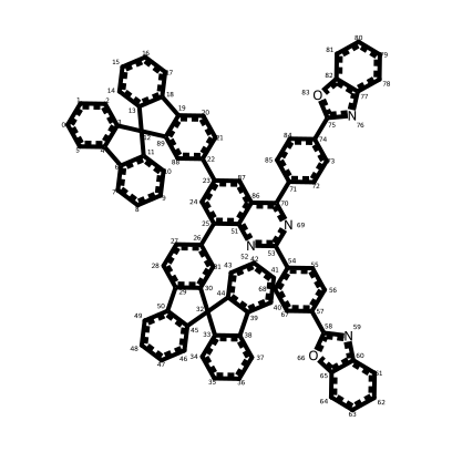 c1ccc2c(c1)-c1ccccc1C21c2ccccc2-c2ccc(-c3cc(-c4ccc5c(c4)C4(c6ccccc6-c6ccccc64)c4ccccc4-5)c4nc(-c5ccc(-c6nc7ccccc7o6)cc5)nc(-c5ccc(-c6nc7ccccc7o6)cc5)c4c3)cc21